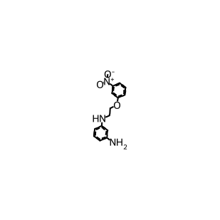 Nc1cccc(NCCOc2cccc([N+](=O)[O-])c2)c1